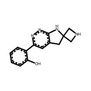 Oc1ccccc1-c1cc2c(nn1)NC1(CNC1)C2